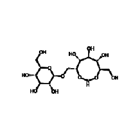 OC[C@H]1ONO[C@H](CO[C@@H]2O[C@H](CO)[C@@H](O)[C@H](O)[C@H]2O)[C@H](O)[C@@H](O)[C@@H]1O